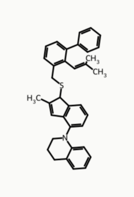 CC(C)=Cc1c(CSC2C(C)=Cc3c2cccc3N2CCCc3ccccc32)cccc1-c1ccccc1